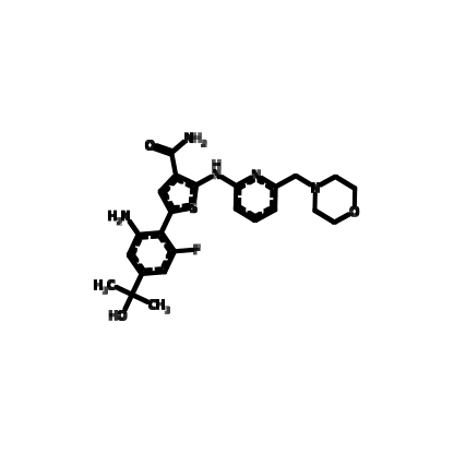 CC(C)(O)c1cc(N)c(-c2cc(C(N)=O)c(Nc3cccc(CN4CCOCC4)n3)s2)c(F)c1